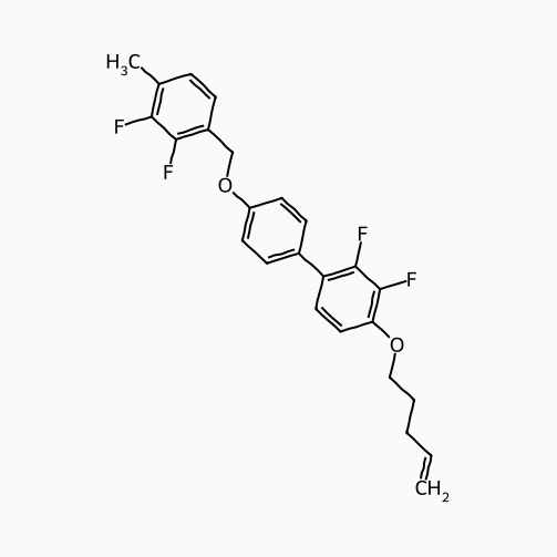 C=CCCCOc1ccc(-c2ccc(OCc3ccc(C)c(F)c3F)cc2)c(F)c1F